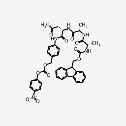 CC(=O)C[C@H](NC(=O)[C@H](C)NC(=O)[C@H](C)NC(=O)OCC1c2ccccc2-c2ccccc21)C(=O)Nc1ccc(COC(=O)Oc2ccc([N+](=O)[O-])cc2)cc1